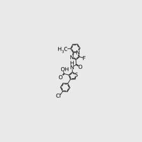 Cc1cccn2c(F)c(C(=O)Nc3scc(-c4ccc(Cl)cc4)c3C(=O)O)nc12